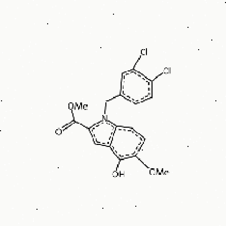 COC(=O)c1cc2c(O)c(OC)ccc2n1Cc1ccc(Cl)c(Cl)c1